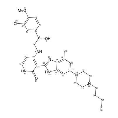 COc1ccc([C@H](O)CNc2cc[nH]c(=O)c2-c2nc3c(C)cc(N4CCN(CCCF)CC4)cc3[nH]2)cc1Cl